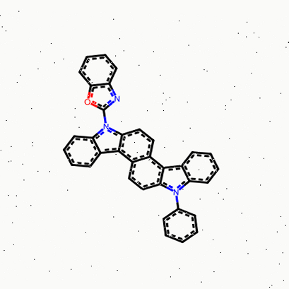 c1ccc(-n2c3ccccc3c3c4ccc5c(c4ccc32)c2ccccc2n5-c2nc3ccccc3o2)cc1